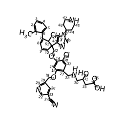 Cc1ccccc1C1=CC=CC(COc2cc(OCc3cncc(C#N)c3)c(CNCC(O)CC(=O)O)cc2Cl)(c2cn(C3CCNCC3)nn2)C1C